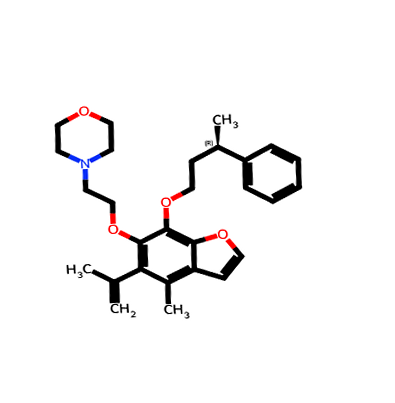 C=C(C)c1c(OCCN2CCOCC2)c(OCC[C@@H](C)c2ccccc2)c2occc2c1C